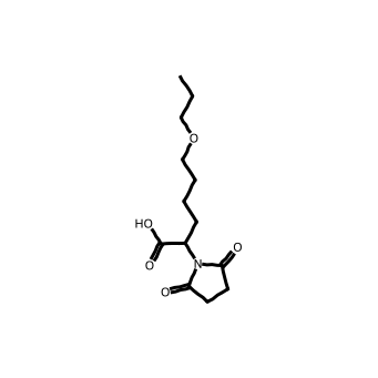 CCCOCCCCC(C(=O)O)N1C(=O)CCC1=O